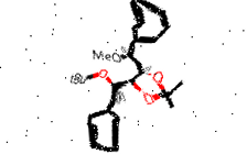 CO[C@@H](c1ccccc1)[C@@H]1OC(C)(C)OC1[C@H](OC(C)(C)C)c1ccccc1